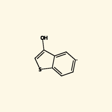 Oc1csc2cc[c]cc12